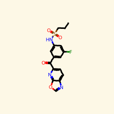 CCCS(=O)(=O)Nc1cc(F)cc(C(=O)c2ccc3ncoc3n2)c1